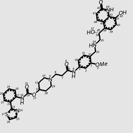 COc1cc(NC(=O)CCN2CCC(OC(=O)Nc3ccccc3-c3nccs3)CC2)ccc1CNC[C@H](O)c1ccc(O)c2[nH]c(=O)ccc12